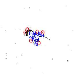 CCCCCCn1ccc(NC(=O)NCCC[Si](C)(C)O[Si](C)(C)O[Si](C)(C)CCCNC(=O)Nc2ccn(C)c(=O)n2)nc1=O